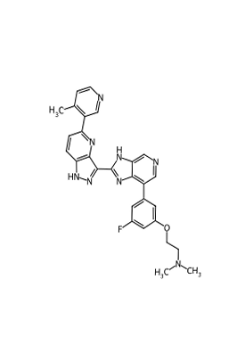 Cc1ccncc1-c1ccc2[nH]nc(-c3nc4c(-c5cc(F)cc(OCCN(C)C)c5)cncc4[nH]3)c2n1